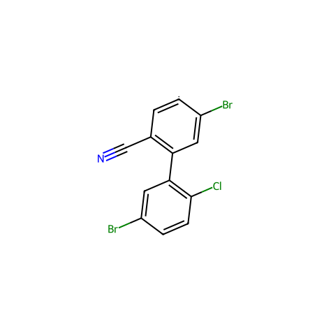 N#Cc1c[c]c(Br)cc1-c1cc(Br)ccc1Cl